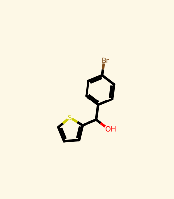 OC(c1ccc(Br)cc1)c1cccs1